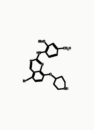 COc1cc(C(=O)O)ccc1Nc1ncc2c(Br)ccc(OC3CCNCC3)c2n1